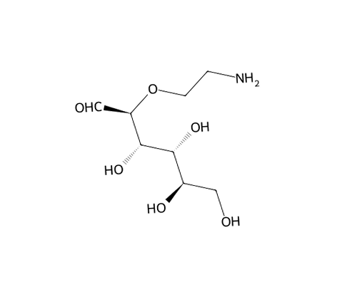 NCCO[C@H](C=O)[C@@H](O)[C@H](O)[C@H](O)CO